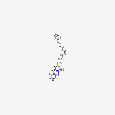 CCCCCCCC/C=C\CCCCCCCC(Cc1ccccc1)NS